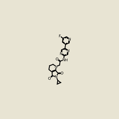 O=C(CN1CCCC2=C1C(=O)N(C1CC1)C2=O)Nc1cnc(-c2cncc(F)c2)cn1